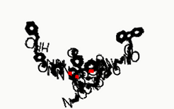 CC[C@@H](O[C@@H](C)COP(=O)(OCCC#N)OC1C[C@H](n2cnc3c(NC(=O)c4ccc(CNC(=O)Cc5ccccc5)cc4)ncnc32)O[C@@H]1COC(c1ccccc1)(c1ccc(OC)cc1)c1ccc(OC)cc1)n1ccc(NC(=O)CCCN(C)C(=O)OCC2c3ccccc3-c3ccccc32)nc1=O